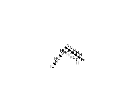 C#N.C#N.C#N.C#N.C#N.C#N.C#N.[Fe]